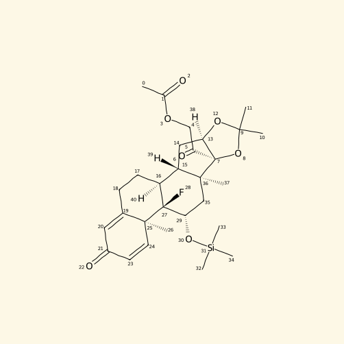 CC(=O)OCC(=O)[C@@]12OC(C)(C)O[C@@H]1C[C@H]1[C@@H]3CCC4=CC(=O)C=C[C@]4(C)[C@@]3(F)[C@@H](O[Si](C)(C)C)C[C@@]12C